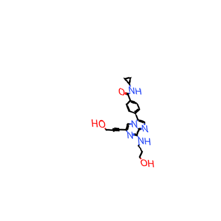 O=C(NC1CC1)c1ccc(-c2cnc3c(NCCCO)nc(C#CCO)cn23)cc1